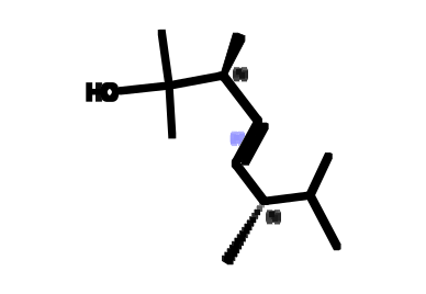 CC(C)[C@H](C)/C=C/[C@H](C)C(C)(C)O